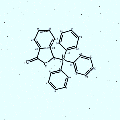 O=C1OC([PH](c2ccccc2)(c2ccccc2)c2ccccc2)c2ccccc21